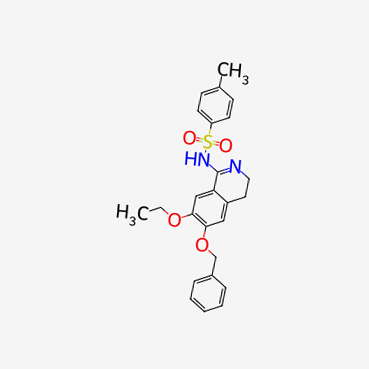 CCOc1cc2c(cc1OCc1ccccc1)CCN=C2NS(=O)(=O)c1ccc(C)cc1